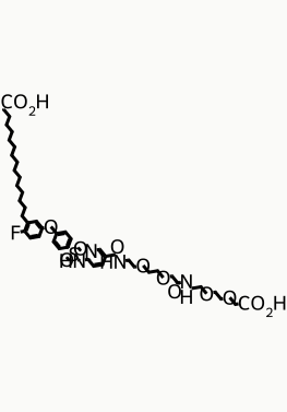 O=C(O)CCCCCCCCCCCCCCCc1cc(Oc2ccc(S(=O)(=O)Nc3ccc(C(=O)NCCOCCOCC(=O)NCCOCCOCC(=O)O)cn3)cc2)ccc1F